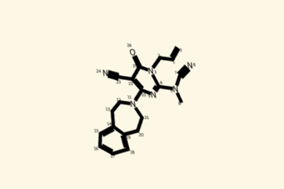 C=CCn1c(N(C)C#N)nc(N2CCc3ccccc3CC2)c(C#N)c1=O